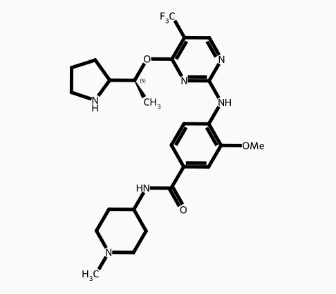 COc1cc(C(=O)NC2CCN(C)CC2)ccc1Nc1ncc(C(F)(F)F)c(O[C@@H](C)C2CCCN2)n1